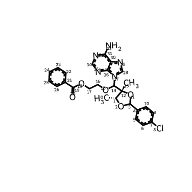 C[C@H]1OC(c2ccc(Cl)cc2)O[C@@]1(C)C(OCCOC(=O)c1ccccc1)n1cnc2c(N)ncnc21